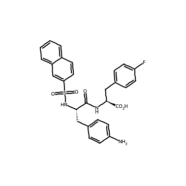 Nc1ccc(C[C@H](NS(=O)(=O)c2ccc3ccccc3c2)C(=O)N[C@@H](Cc2ccc(F)cc2)C(=O)O)cc1